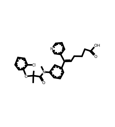 CN(C(=O)C(C)(C)Oc1ccccc1Cl)c1cccc(/C(=C/CCCC(=O)O)c2cccnc2)c1